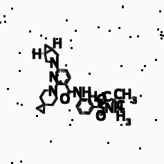 CC(C)(C)NS(=O)(=O)c1cccc(NC(=O)c2ccc(N3C[C@H]4C[C@H]4C3)nc2N2CCC3(CC2)CC3)c1